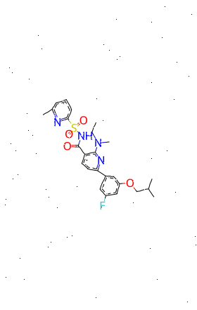 CCN(C)c1nc(-c2cc(F)cc(OCC(C)C)c2)ccc1C(=O)NS(=O)(=O)c1cccc(C)n1